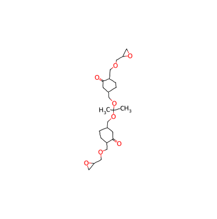 CC(C)(OCC1CCC(COCC2CO2)C(=O)C1)OCC1CCC(COCC2CO2)C(=O)C1